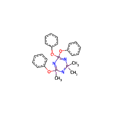 CP1(C)=NP(C)(Oc2ccccc2)=NP(Oc2ccccc2)(Oc2ccccc2)=N1